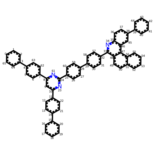 c1ccc(-c2ccc(-c3cc(-c4ccc(-c5ccccc5)cc4)nc(-c4ccc(-c5ccc(-c6nc7ccc(-c8ccccc8)cc7c7c6ccc6ccccc67)cc5)cc4)n3)cc2)cc1